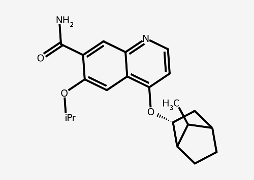 CC(C)Oc1cc2c(O[C@@H]3CC4CCC3C4C)ccnc2cc1C(N)=O